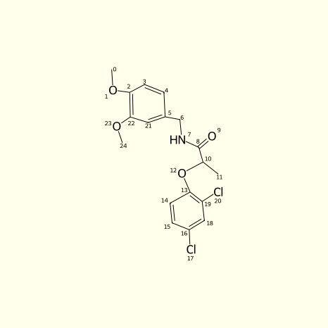 COc1ccc(CNC(=O)C(C)Oc2ccc(Cl)cc2Cl)cc1OC